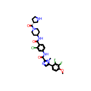 COc1ccc(-c2cnc(C(=O)Nc3ccc(C(=O)NC4CCN(C(=O)[C@@H]5CCNC5)CC4)c(Cl)c3)n2C)c(F)c1F